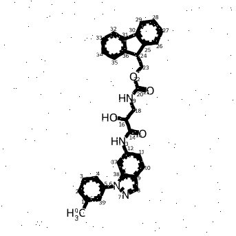 Cc1cccc(-n2ncc3ccc(NC(=O)C(O)CNC(=O)OCC4c5ccccc5-c5ccccc54)cc32)c1